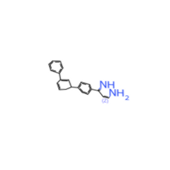 N=C(/C=C\N)c1ccc(C2C=C(c3ccccc3)C=CC2)cc1